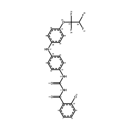 O=C(NC(=O)c1ccccc1Cl)Nc1ccc(Nc2ccc(OC(F)(F)C(F)F)cc2)cc1